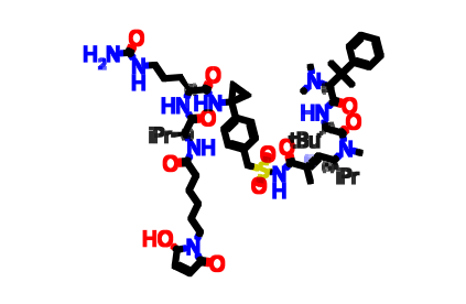 C/C(=C\[C@H](C(C)C)N(C)C(=O)[C@@H](NC(=O)[C@@H](N(C)C)C(C)(C)c1ccccc1)C(C)(C)C)C(=O)NS(=O)(=O)Cc1ccc(C2(NC(=O)[C@H](CCCNC(N)=O)NC(=O)[C@@H](NC(=O)CCCCCN3C(=O)C=CC3O)C(C)C)CC2)cc1